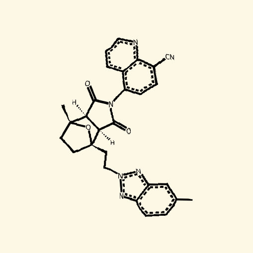 Cc1ccc2nn(CC[C@@]34CC[C@@](C)(O3)[C@H]3C(=O)N(c5ccc(C#N)c6ncccc56)C(=O)[C@H]34)nc2c1